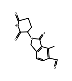 Cc1c(C=O)ccc2c1C(=O)N(C1CCC(=O)NC1=O)C2